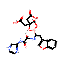 O=C(O)CC1(CC(=O)O)OB(C(Cc2coc3ccccc23)NC(=O)C(=O)Nc2cnccn2)OC1=O